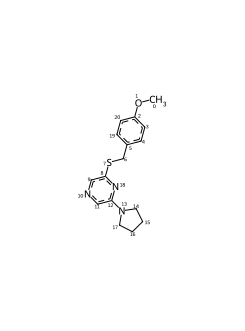 COc1ccc(CSc2cncc(N3CCCC3)n2)cc1